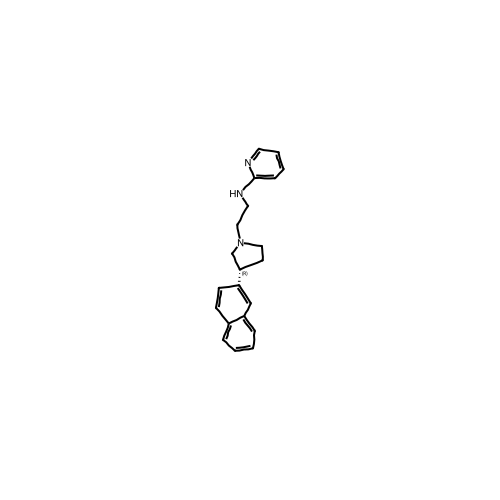 c1ccc(NCCN2CC[C@H](c3ccc4ccccc4c3)C2)nc1